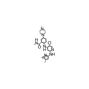 CNC(=O)c1cc(N2CCN(C)CC2)ccc1Nc1cc(Nc2cc(C)n(C)n2)ncc1Cl